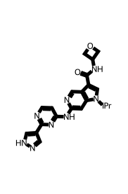 CC(C)n1cc(C(=O)NC2COC2)c2cnc(Nc3ccnc(-c4cn[nH]c4)n3)cc21